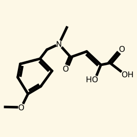 COc1ccc(CN(C)C(=O)C=C(O)C(=O)O)cc1